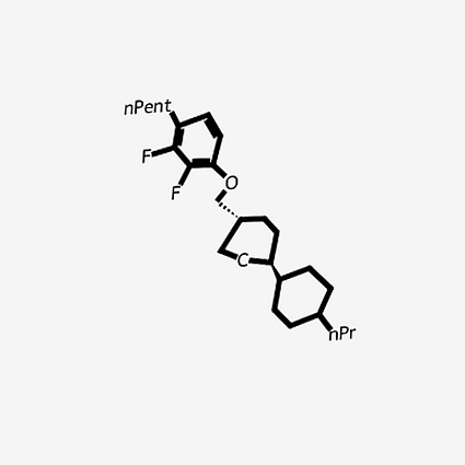 CCCCCc1ccc(OC[C@H]2CC[C@H](C3CCC(CCC)CC3)CC2)c(F)c1F